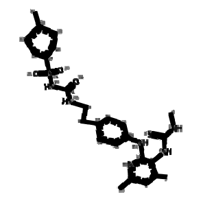 CNC(=S)Nc1c(C)cc(C)nc1Nc1ccc(CCNC(=O)NS(=O)(=O)c2ccc(C)cc2)cc1